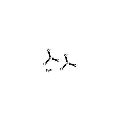 [Fe+2].[O-][Br+2]([O-])[O-].[O-][Br+2]([O-])[O-]